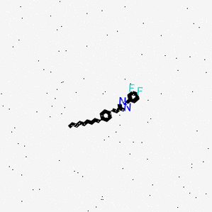 CCCCCCCCC[C@H]1CC[C@H](CCc2cnc(-c3ccc(F)c(F)c3)nc2)CC1